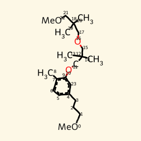 COCCCc1ccc(C)c(OCC(C)(C)COCC(C)(C)COC)c1